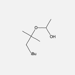 CCC(C)CC(C)(C)OC(C)O